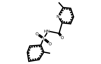 Cc1cccc(C(=O)NS(=O)(=O)c2ccccc2C)n1